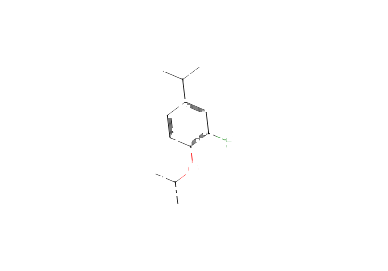 CC(C)Oc1ccc(C(C)C)cc1F